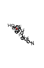 COC(O)c1ccc2nc(Cc3cc(F)c(-c4cccc(OCc5ccc(C#N)cc5F)n4)cc3F)n(CC34CC(CN3C(C)=O)C4)c2c1